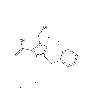 O=C(O)c1oc(Cc2ccccc2)cc1CO